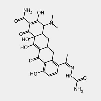 C/C(=N/NC(N)=O)c1ccc(O)c2c1CC1CC3C(N(C)C)C(O)=C(C(N)=O)C(=O)C3(O)C(O)=C1C2=O